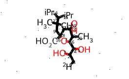 [2H]CC(O)C(O)C1OC(CC(C)(C)C(C(C)C)C(C)C)(C(=O)O)CC(O)C1C